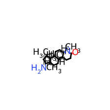 C[C@@H]1C[C@H](N)[C@@]2(C)CC[C@H]3[C@@H](CC[C@H]4N(C)C(=O)CC[C@]34C)[C@H]12